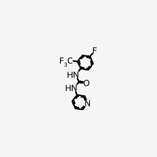 O=C(Nc1cccnc1)Nc1ccc(F)cc1C(F)(F)F